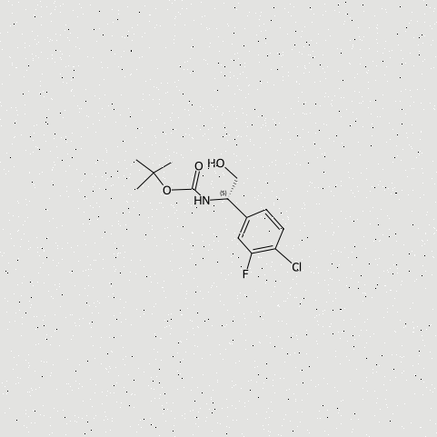 CC(C)(C)OC(=O)N[C@H](CO)c1ccc(Cl)c(F)c1